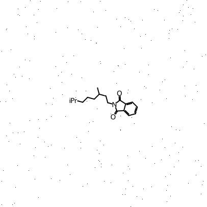 CC(C)CCCC(C)CCN1C(=O)c2ccccc2C1=O